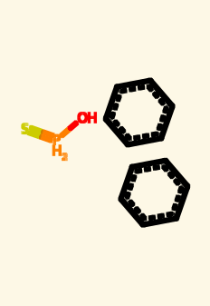 O[PH2]=S.c1ccccc1.c1ccccc1